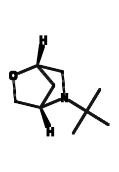 CC(C)(C)N1C[C@@H]2C[C@H]1CO2